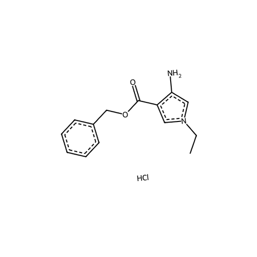 CCn1cc(N)c(C(=O)OCc2ccccc2)c1.Cl